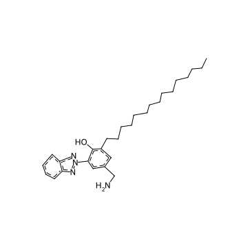 CCCCCCCCCCCCCCCc1cc(CN)cc(-n2nc3ccccc3n2)c1O